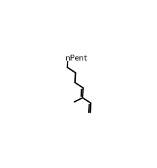 C=C/C(C)=C/CCCCCCCC